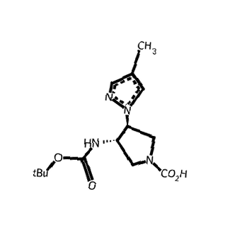 Cc1cnn([C@H]2CN(C(=O)O)C[C@@H]2NC(=O)OC(C)(C)C)c1